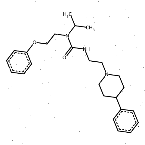 CC(C)N(CCOc1ccccc1)C(=O)NCCN1CCC(c2ccccc2)CC1